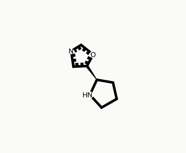 c1ncc([C@H]2CCCN2)o1